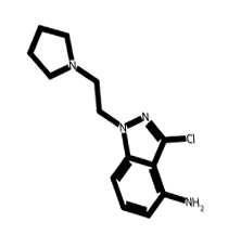 Nc1cccc2c1c(Cl)nn2CCN1CCCC1